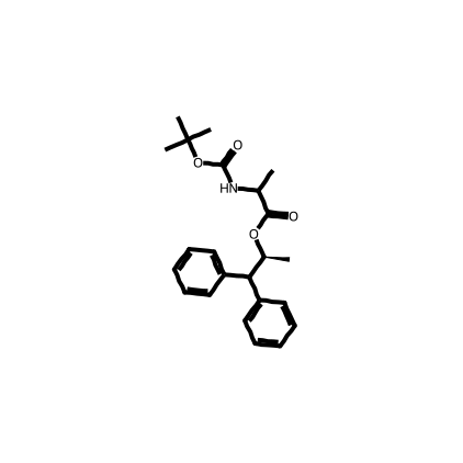 CC(NC(=O)OC(C)(C)C)C(=O)O[C@@H](C)C(c1ccccc1)c1ccccc1